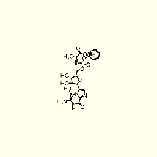 COC(=O)[C@H](C)NP(=O)(OC[C@H]1O[C@@H](c2cnc3c(=O)[nH]c(N)nn23)[C@](C)(O)[C@@H]1O)Oc1ccccc1